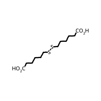 O=C(O)CCCCCSSCCCCCC(=O)O